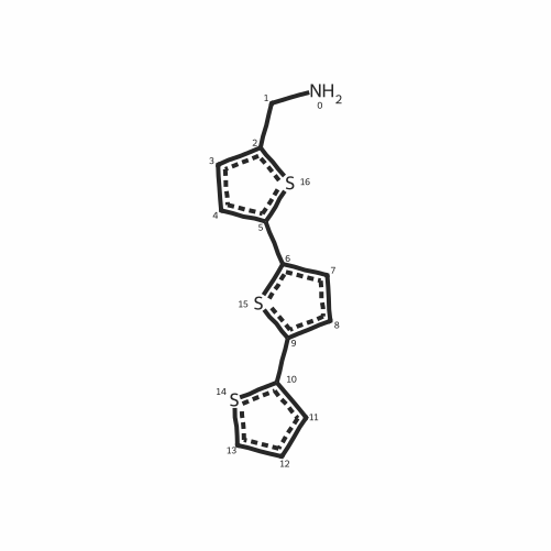 NCc1ccc(-c2ccc(-c3cccs3)s2)s1